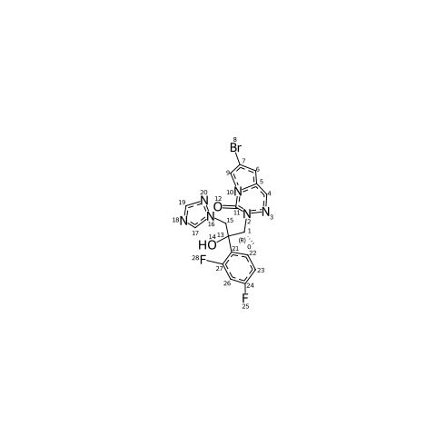 C[C@@H](n1ncc2cc(Br)cn2c1=O)C(O)(Cn1cncn1)c1ccc(F)cc1F